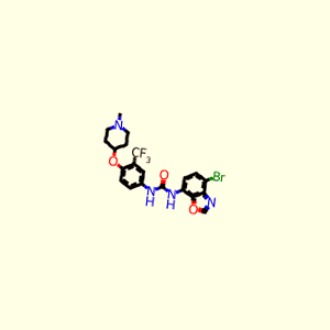 CN1CCC(Oc2ccc(NC(=O)Nc3ccc(Br)c4ncoc34)cc2C(F)(F)F)CC1